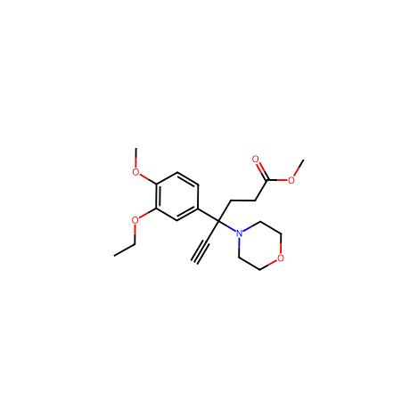 C#CC(CCC(=O)OC)(c1ccc(OC)c(OCC)c1)N1CCOCC1